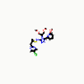 COCC(COC)n1c(NSC(C)Cc2ncc(Cl)cn2)nnc1-c1cccc(OC)n1